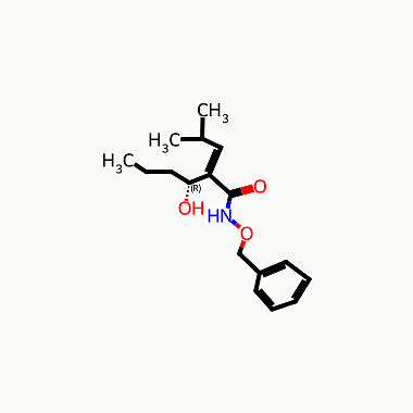 CCC[C@@H](O)C(=CC(C)C)C(=O)NOCc1ccccc1